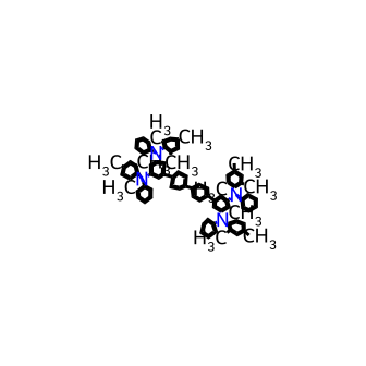 Cc1cc(C)c(N(c2ccccc2)c2cc(-c3ccc(-c4ccc(-c5cc(N(c6ccccc6)c6c(C)cc(C)cc6C)cc(N(c6ccccc6)c6c(C)cc(C)cc6C)c5)cc4)cc3)cc(N(c3ccccc3)c3c(C)cc(C)cc3C)c2)c(C)c1